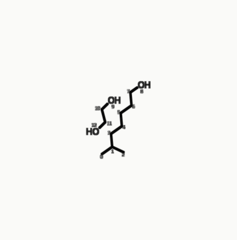 CC(C)CCCCCO.OCCO